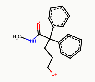 CNC(=O)C(CCCO)(c1ccccc1)c1ccccc1